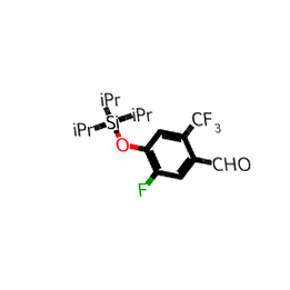 CC(C)[Si](Oc1cc(C(F)(F)F)c(C=O)cc1F)(C(C)C)C(C)C